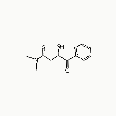 CN(C)C(=S)CC(S)C(=O)c1ccccc1